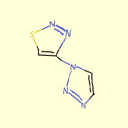 c1cn(-c2csnn2)nn1